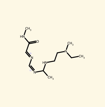 CCN(C)CCNC(C)/N=C\N=C\C(=O)NC